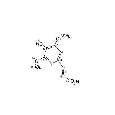 CCCCOc1cc(/C=C/C(=O)O)cc(OCCCC)c1O